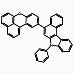 c1ccc(-n2c3ccccc3c3c4ccccc4c(-c4ccc5c(c4)-c4cccc6cccc(c46)S5)cc32)cc1